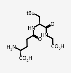 CC(C)(C)C[C@H](NC(=O)CC[C@H](N)C(=O)O)C(=O)NCC(=O)O